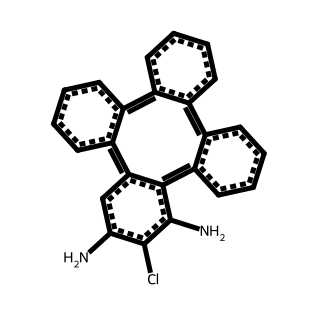 Nc1cc2c(c(N)c1Cl)=c1ccccc1=c1ccccc1=c1ccccc1=2